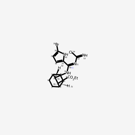 CCOC(=O)[C@H]1C2CCC(CC2)[C@@H]1N/C(=N/C(=N)Cl)c1ccc(Br)[nH]1